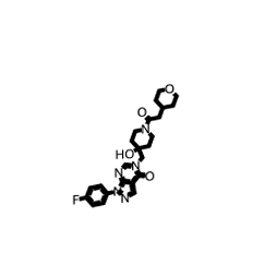 O=C(CC1CCOCC1)N1CCC(O)(Cn2cnc3c(cnn3-c3ccc(F)cc3)c2=O)CC1